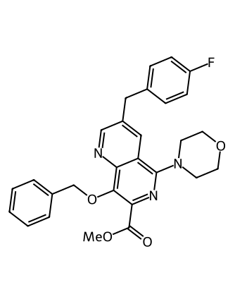 COC(=O)c1nc(N2CCOCC2)c2cc(Cc3ccc(F)cc3)cnc2c1OCc1ccccc1